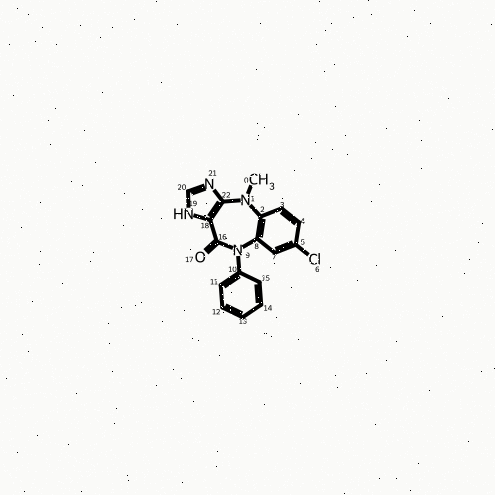 CN1c2ccc(Cl)cc2N(c2ccccc2)C(=O)c2[nH]cnc21